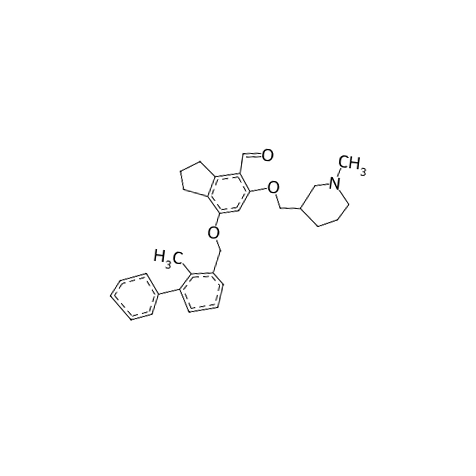 Cc1c(COc2cc(OCC3CCCN(C)C3)c(C=O)c3c2CCC3)cccc1-c1ccccc1